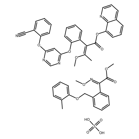 CO/C(C)=C(/C(=O)Oc1cccc2cccnc12)c1ccccc1Oc1cc(Oc2ccccc2C#N)ncn1.CO/N=C(/C(=O)OC)c1ccccc1COc1ccccc1C.O=S(=O)(O)O